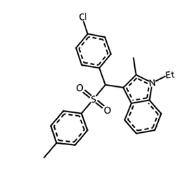 CCn1c(C)c(C(c2ccc(Cl)cc2)S(=O)(=O)c2ccc(C)cc2)c2ccccc21